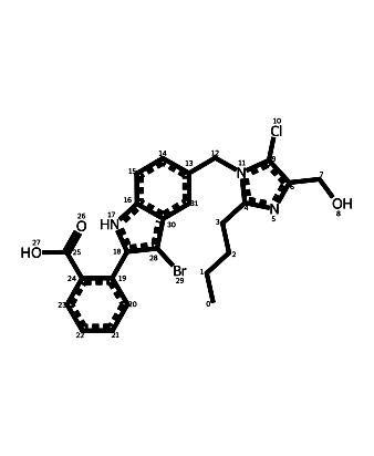 CCCCc1nc(CO)c(Cl)n1Cc1ccc2[nH]c(-c3ccccc3C(=O)O)c(Br)c2c1